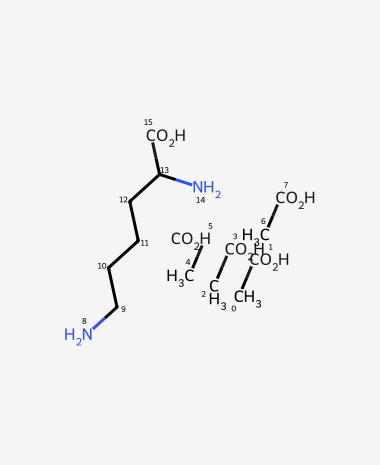 CC(=O)O.CC(=O)O.CC(=O)O.CC(=O)O.NCCCCC(N)C(=O)O